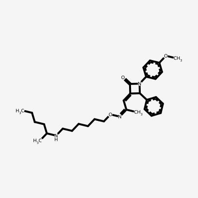 CCCCC(C)NCCCCCCO/N=C(C)\C=C1\C(=O)N(c2ccc(OC)cc2)C1c1ccccc1